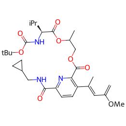 C=C(/C=C(\C)c1ccc(C(=O)NCC2CC2)nc1C(=O)OCC(C)OC(=O)[C@@H](NC(=O)OC(C)(C)C)C(C)C)OC